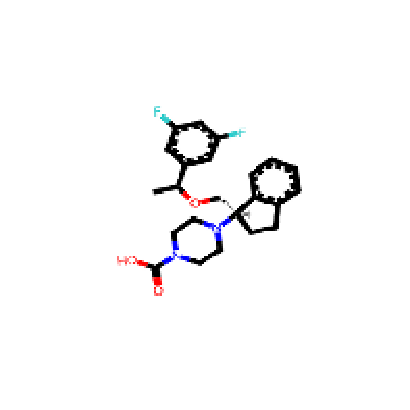 CC(OC[C@@]1(N2CCN(C(=O)O)CC2)CCc2ccccc21)c1cc(F)cc(F)c1